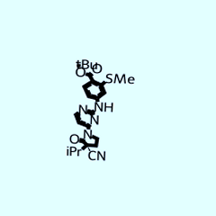 CSc1cc(Nc2nccc(N3CC[C@@](C#N)(C(C)C)C3=O)n2)ccc1C(=O)OC(C)(C)C